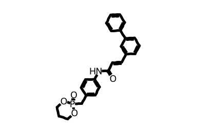 O=C(/C=C/c1cccc(-c2ccccc2)c1)Nc1ccc(CP2(=O)OCCCO2)cc1